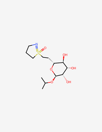 CC(C)O[C@H]1O[C@H](CCS2(=O)=NCCC2)[C@@H](O)[C@H](O)[C@@H]1O